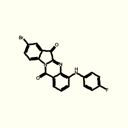 O=C1c2cc(Br)ccc2-n2c1nc1c(Nc3ccc(F)cc3)cccc1c2=O